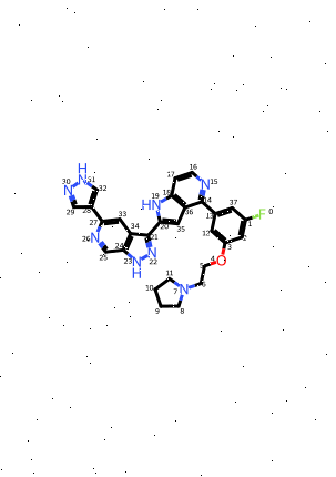 Fc1cc(OCCN2CCCC2)cc(-c2nccc3[nH]c(-c4n[nH]c5cnc(-c6cn[nH]c6)cc45)cc23)c1